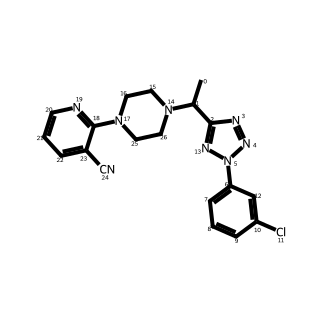 CC(c1nnn(-c2cccc(Cl)c2)n1)N1CCN(c2ncccc2C#N)CC1